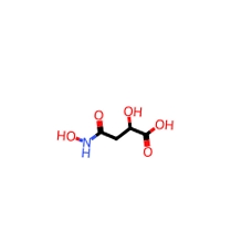 O=C(CC(O)C(=O)O)NO